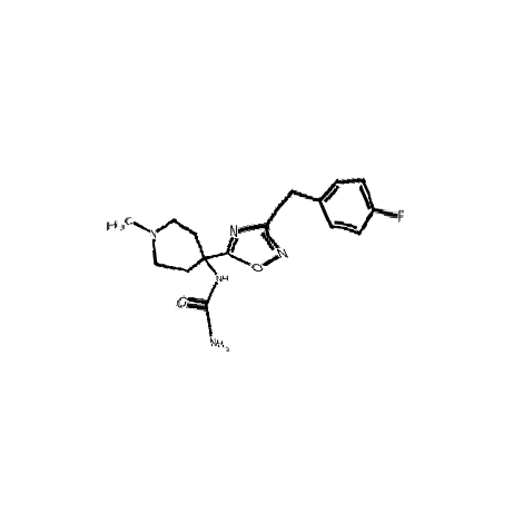 CN1CCC(NC(N)=O)(c2nc(Cc3ccc(F)cc3)no2)CC1